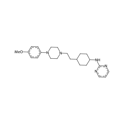 COc1ccc(N2CCN(CCC3CCC(Nc4ncccn4)CC3)CC2)cc1